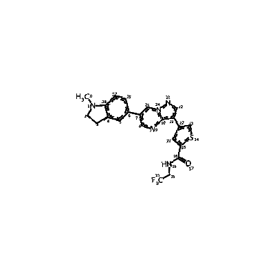 CN1CCc2cc(-c3cnc4c(-c5csc(C(=O)NCC(F)(F)F)c5)cnn4c3)ccc21